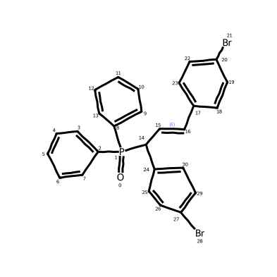 O=P(c1ccccc1)(c1ccccc1)C(/C=C/c1ccc(Br)cc1)c1ccc(Br)cc1